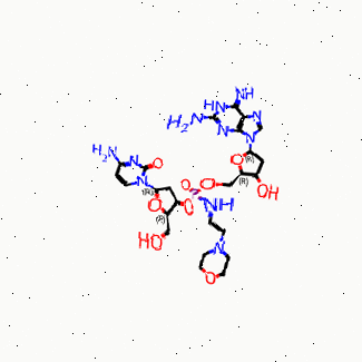 N=c1[nH]c(N)nc2c1ncn2[C@H]1CC(O)[C@@H](COP(=O)(NCCN2CCOCC2)OC2C[C@H](n3ccc(N)nc3=O)O[C@@H]2CO)O1